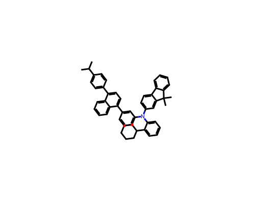 CC(C)c1ccc(-c2ccc(-c3cccc(N(c4ccc5c(c4)C(C)(C)c4ccccc4-5)c4ccccc4C4CCCCC4)c3)c3ccccc23)cc1